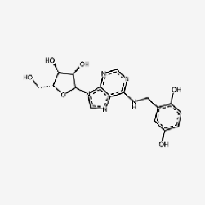 OC[C@H]1OC(n2cnc3c(NCc4cc(O)ccc4O)ncnc32)[C@H](O)[C@@H]1O